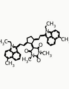 CCn1/c(=C/C=C2\CC/C(=C\C=c3/c4cccc5c(C)ccc(c54)n3CC)C2=C2C(=O)N(C)C(=O)N(C)C2=O)c2cccc3c(C)ccc1c32